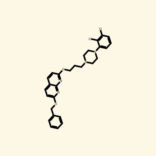 Clc1cccc(N2CCN(CCCOc3ccc4ccc(OCc5ccccc5)nc4n3)CC2)c1Cl